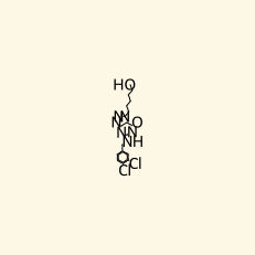 O=C1N=C(NCc2ccc(Cl)c(Cl)c2)N=C2N=NN(CCCCCO)C12